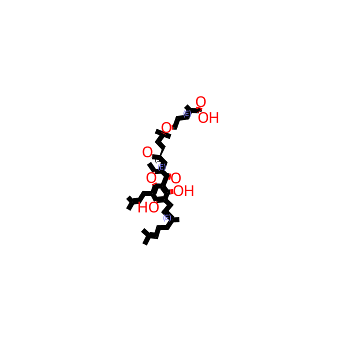 CC(C)=CCC/C(C)=C/Cc1c(O)c(CC=C(C)C)c2c(c1O)C(=O)/C(=C/[C@@H](C=O)CCC(C)(C)OCC/C=C(\C)C(=O)O)C(C)O2